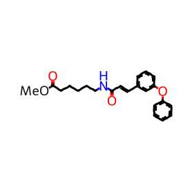 COC(=O)CCCCCNC(=O)/C=C/c1cccc(Oc2ccccc2)c1